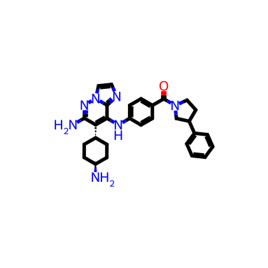 Nc1nn2ccnc2c(Nc2ccc(C(=O)N3CCC(c4ccccc4)C3)cc2)c1[C@H]1CC[C@H](N)CC1